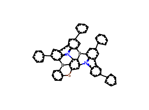 c1ccc(-c2ccc3c(c2)c2cc(-c4ccccc4)cc4c2n3-c2cc3c5c6c2B4c2cc(-c4ccccc4)cc4c7cc(-c8ccccc8)cc(c7n-6c24)B5c2ccccc2S3)cc1